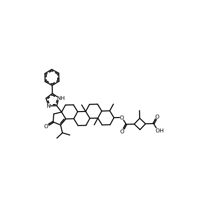 CC(C)C1=C2C3CCC4C(C)(CCC5C(C)C(OC(=O)C6CC(C(=O)O)C6C)CCC54C)C3CCC2(c2ncc(-c3ccccc3)[nH]2)CC1=O